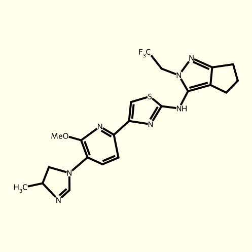 COc1nc(-c2csc(Nc3c4c(nn3CC(F)(F)F)CCC4)n2)ccc1N1C=NC(C)C1